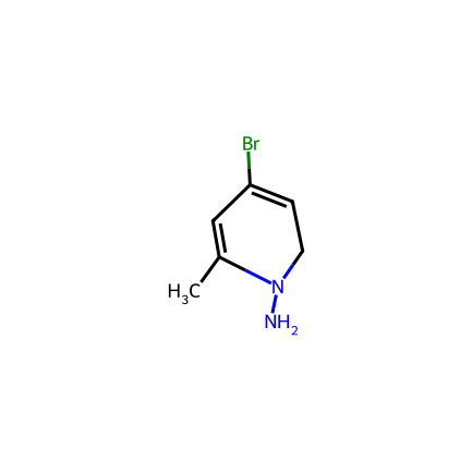 CC1=CC(Br)=CCN1N